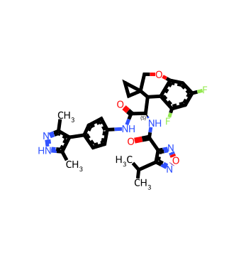 Cc1n[nH]c(C)c1-c1ccc(NC(=O)[C@@H](NC(=O)c2nonc2C(C)C)C2c3c(F)cc(F)cc3OCC23CC3)cc1